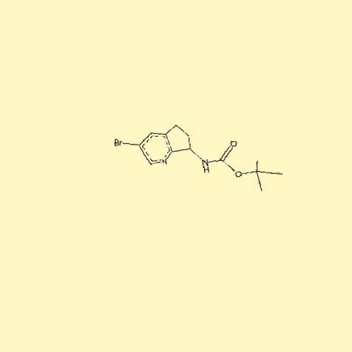 CC(C)(C)OC(=O)NC1CCc2cc(Br)cnc21